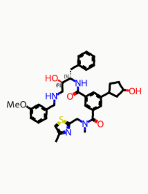 COc1cccc(CNC[C@@H](O)[C@H](Cc2ccccc2)NC(=O)c2cc(C(=O)N(C)Cc3nc(C)cs3)cc(C3CCC(O)C3)c2)c1